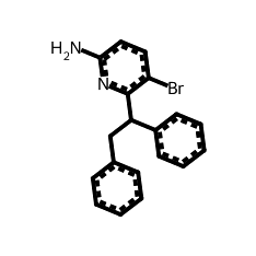 Nc1ccc(Br)c(C(Cc2ccccc2)c2ccccc2)n1